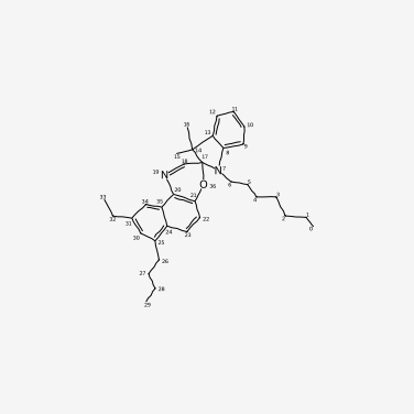 CCCCCCCN1c2ccccc2C(C)(C)C12C=Nc1c(ccc3c(CCCC)cc(CC)cc13)O2